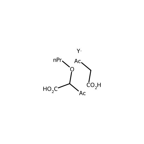 CC(=O)CC(=O)O.CCCOC(C(C)=O)C(=O)O.[Y]